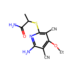 CCOc1c(C#N)c(N)nc(SC(C)C(N)=O)c1C#N